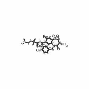 CN(C)CCC(C)(C)c1nnc(-c2cc3c(cc2F)S(=O)(=O)C[C@H](N)C(=O)N3Cc2ccc(Cl)cc2)o1